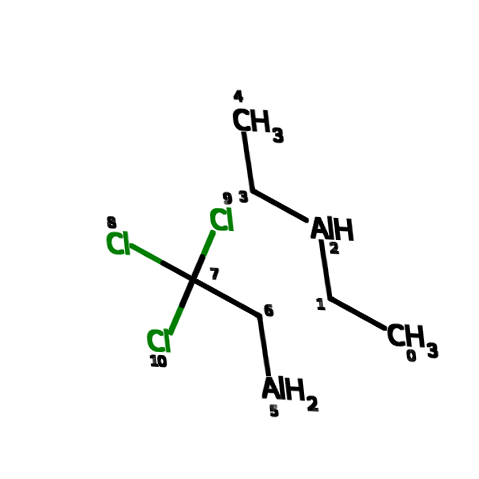 C[CH2][AlH][CH2]C.[AlH2][CH2]C(Cl)(Cl)Cl